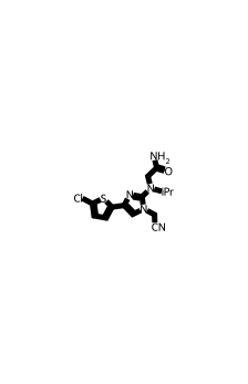 CC(C)N(CC(N)=O)c1nc(-c2ccc(Cl)s2)cn1CC#N